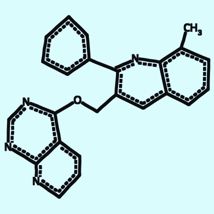 Cc1cccc2cc(COc3ncnc4ncccc34)c(-c3ccccc3)nc12